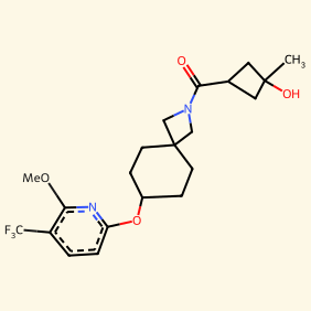 COc1nc(OC2CCC3(CC2)CN(C(=O)C2CC(C)(O)C2)C3)ccc1C(F)(F)F